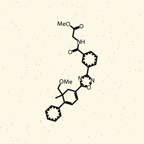 COCC1(C)CC(c2nc(-c3cccc(C(=O)NCC(=O)OC)c3)no2)=CC=C1c1ccccc1